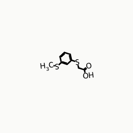 CSc1cccc(SCC(=O)O)c1